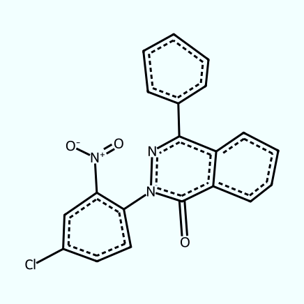 O=c1c2ccccc2c(-c2ccccc2)nn1-c1ccc(Cl)cc1[N+](=O)[O-]